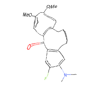 COc1cc2c(cc1OC)C(=O)c1cc(F)c(N(C)C)cc1CC2